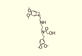 COc1ccc(CCN(CCCNCC[C@@H]2Cc3cc(OC)c(OC)cc32)C(=O)CO)cc1OC